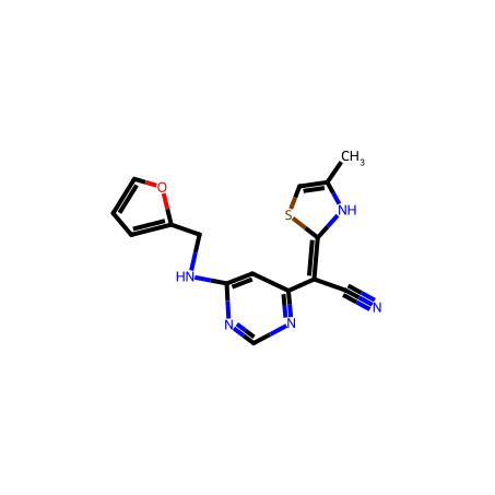 CC1=CSC(=C(C#N)c2cc(NCc3ccco3)ncn2)N1